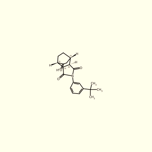 CC(C)(C)c1cccc(N2C(=O)[C@@H]3[C@H]4CC[C@H](C(=O)C4)[C@@H]3C2=O)c1